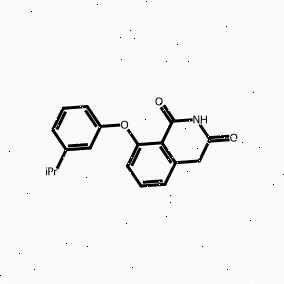 CC(C)c1cccc(Oc2cccc3c2C(=O)NC(=O)C3)c1